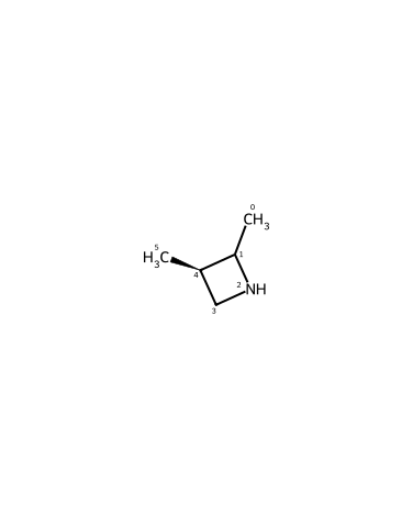 CC1NC[C@H]1C